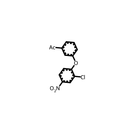 CC(=O)c1cccc(Oc2ccc([N+](=O)[O-])cc2Cl)c1